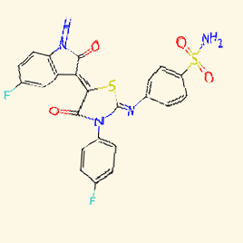 NS(=O)(=O)c1ccc(/N=C2\S/C(=C3\C(=O)Nc4ccc(F)cc43)C(=O)N2c2ccc(F)cc2)cc1